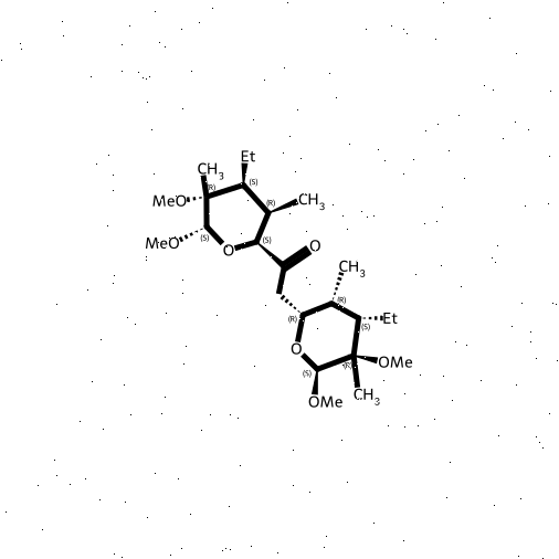 CC[C@H]1[C@@H](C)[C@@H](C(=O)C[C@H]2O[C@H](OC)[C@](C)(OC)[C@@H](CC)[C@H]2C)O[C@H](OC)[C@]1(C)OC